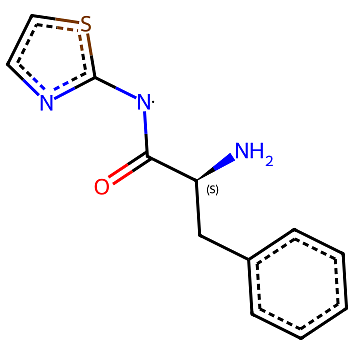 N[C@@H](Cc1ccccc1)C(=O)[N]c1nccs1